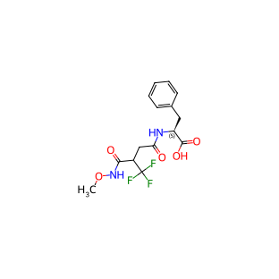 CONC(=O)C(CC(=O)N[C@@H](Cc1ccccc1)C(=O)O)C(F)(F)F